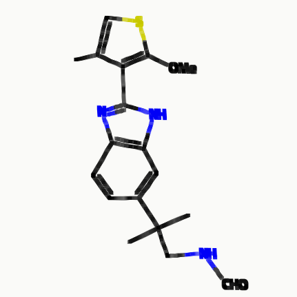 COc1scc(C)c1-c1nc2ccc(C(C)(C)CNC=O)cc2[nH]1